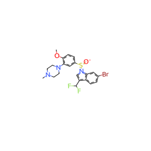 COc1ccc([S+]([O-])n2cc(C(F)F)c3ccc(Br)cc32)cc1N1CCN(C)CC1